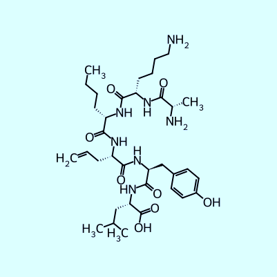 C=CC[C@H](NC(=O)[C@H](CCCC)NC(=O)[C@H](CCCCN)NC(=O)[C@H](C)N)C(=O)N[C@@H](Cc1ccc(O)cc1)C(=O)N[C@@H](CC(C)C)C(=O)O